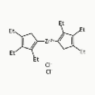 CCC1=C(CC)C(CC)=[C]([Zr+2][C]2=C(CC)C(CC)=C(CC)C2)C1.[Cl-].[Cl-]